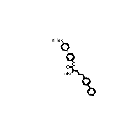 CCCCCC[C@H]1CC[C@H](c2ccc(OC(=O)C(CCCC)CCCc3ccc(-c4ccccc4)cc3)cc2)CC1